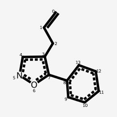 C=CCc1cnoc1-c1ccccc1